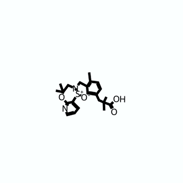 Cc1ccc(CC(C)(C)C(=O)O)cc1CN1CC(C)(C)Oc2ncccc2[S+]1[O-]